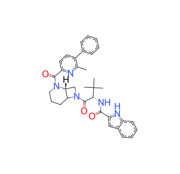 Cc1nc(C(=O)N2CCCC3[C@H]2CN3C(=O)[C@@H](NC(=O)c2cc3ccccc3[nH]2)C(C)(C)C)ccc1-c1ccccc1